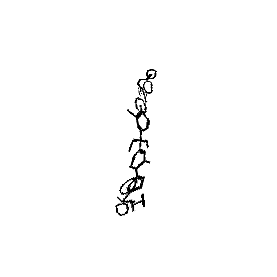 CCC(CC)(c1ccc(OC[C@H]2CCC(=O)O2)c(C)c1)c1ccc(-c2ccc(C(C)(C)O)o2)c(C)c1